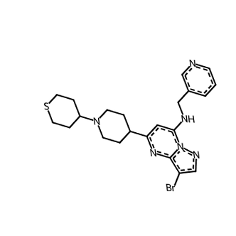 Brc1cnn2c(NCc3cccnc3)cc(C3CCN(C4CCSCC4)CC3)nc12